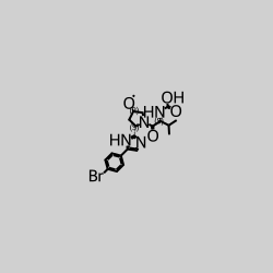 CO[C@@H]1C[C@@H](c2ncc(-c3ccc(Br)cc3)[nH]2)N(C(=O)[C@@H](NC(=O)O)C(C)C)C1